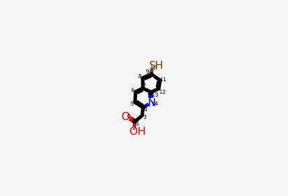 O=C(O)Cc1ccc2cc(S)ccc2n1